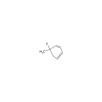 [CH2]C1(F)C=CC=CC1